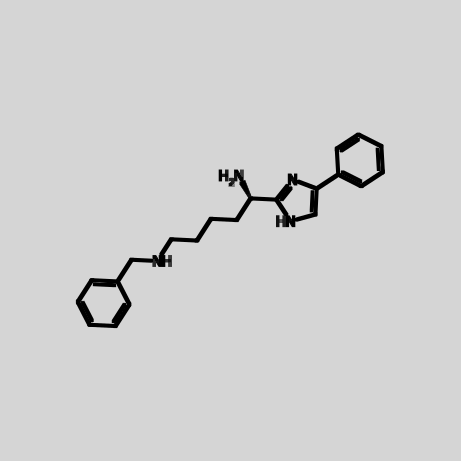 N[C@H](CCCCNCc1ccccc1)c1nc(-c2ccccc2)c[nH]1